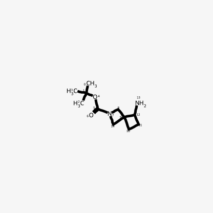 CC(C)(C)OC(=O)N1CC2(CCC2N)C1